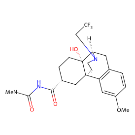 CNC(=O)NC(=O)[C@@H]1CC[C@@]2(O)[C@H]3Cc4ccc(OC)cc4[C@@]2(CCN3CC(F)(F)F)C1